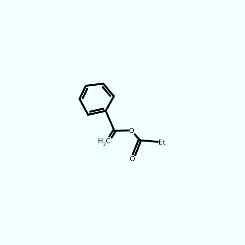 C=C(OC(=O)CC)c1ccccc1